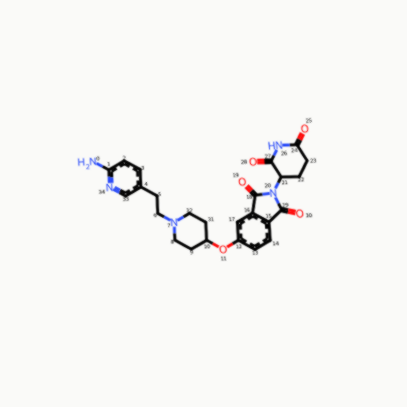 Nc1ccc(CCN2CCC(Oc3ccc4c(c3)C(=O)N(C3CCC(=O)NC3=O)C4=O)CC2)cn1